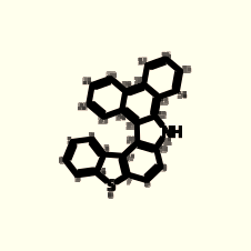 c1ccc2c(c1)sc1ccc3[nH]c4c5ccccc5c5ccccc5c4c3c12